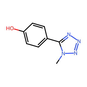 Cn1nnnc1-c1ccc(O)cc1